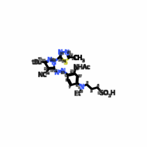 CCN(CCCS(=O)(=O)O)c1ccc(/N=N/c2c(C#N)c(C(C)(C)C)nn2-c2nnc(C)s2)c(NC(C)=O)c1